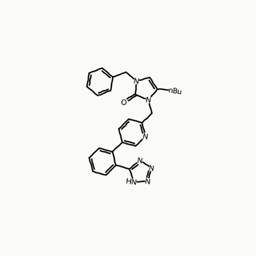 CCCCc1cn(Cc2ccccc2)c(=O)n1Cc1ccc(-c2ccccc2-c2nnn[nH]2)cn1